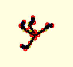 CC(C)(C(=O)c1ccc(SCCOCCCSCCC(=O)OCC(COC(=O)CCSCCCOCCSc2ccc(C(=O)C(C)(C)N3CCOCC3)cc2)(COC(=O)CCSCCCOCCSc2ccc(C(=O)C(C)(C)N3CCOCC3)cc2)COC(=O)CCSCCCOCCSc2ccc(C(=O)C(C)(C)N3CCOCC3)cc2)cc1)N1CCOCC1